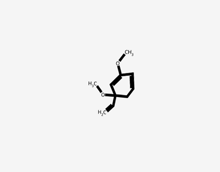 C=CC1(OC)C=C(OC)C=CC1